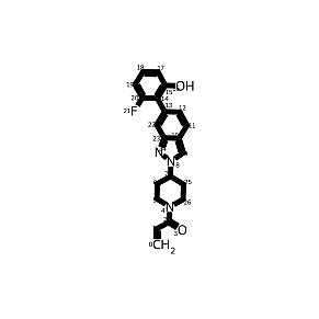 C=CC(=O)N1CCC(n2cc3ccc(-c4c(O)cccc4F)cc3n2)CC1